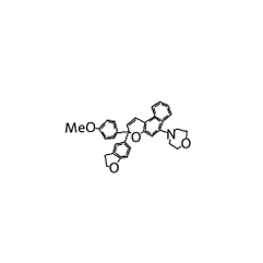 COc1ccc(C2(c3ccc4c(c3)CCO4)C=Cc3c(cc(N4CCOCC4)c4ccccc34)O2)cc1